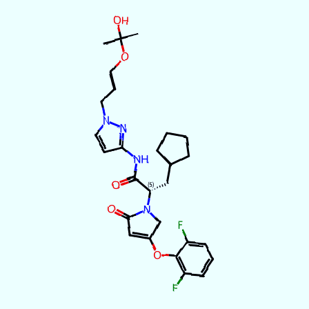 CC(C)(O)OCCCn1ccc(NC(=O)[C@H](CC2CCCC2)N2CC(Oc3c(F)cccc3F)=CC2=O)n1